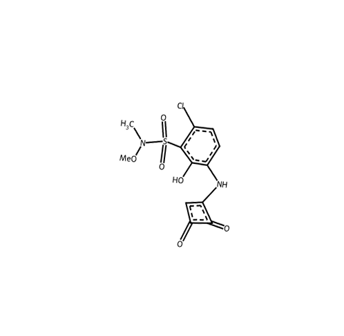 CON(C)S(=O)(=O)c1c(Cl)ccc(Nc2cc(=O)c2=O)c1O